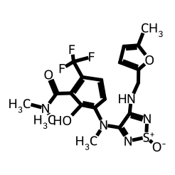 Cc1ccc(CNc2n[s+]([O-])nc2N(C)c2ccc(C(F)(F)F)c(C(=O)N(C)C)c2O)o1